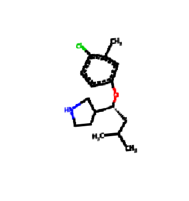 Cc1cc(O[C@H](CC(C)C)C2CCNC2)ccc1Cl